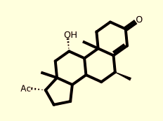 CC(=O)[C@H]1CCC2C3C[C@H](C)C4=CC(=O)CCC4(C)C3[C@@H](O)CC21C